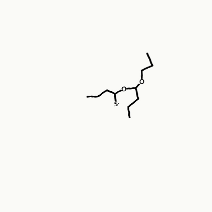 CCCOC(CCC)OC([S])CCC